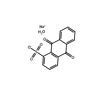 O.O=C1c2ccccc2C(=O)c2c1cccc2S(=O)(=O)[O-].[Na+]